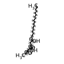 CCCCCCCCCCCCCCCCCCOC(O)CCOP(=O)(O)CC(=O)OCC